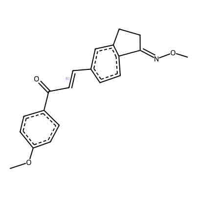 CON=C1CCc2cc(/C=C/C(=O)c3ccc(OC)cc3)ccc21